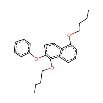 CCCCOc1cccc2c(OCCCC)c(Oc3ccccc3)ccc12